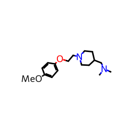 COc1ccc(OCCN2CCC(CN(C)C)CC2)cc1